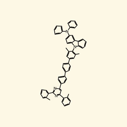 Cc1ccccc1-c1cc(-c2ccc(-c3ccc(-c4cc(C)c(-n5c6ccccc6c6cc(N(c7ccccc7)c7ccccc7)ccc65)c(C)c4)cc3)cc2)nc(-c2ccccc2C)n1